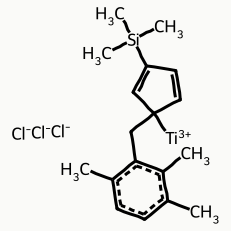 Cc1ccc(C)c(C[C]2([Ti+3])C=CC([Si](C)(C)C)=C2)c1C.[Cl-].[Cl-].[Cl-]